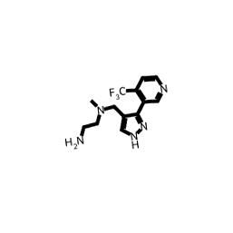 CN(CCN)Cc1c[nH]nc1-c1cnccc1C(F)(F)F